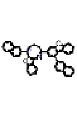 C1=C(/c2ccc3ccccc3c2)c2oc3ccccc3c2/N=C(/c2cc(-c3ccc4ccccc4c3)c3c(c2)oc2ccccc23)CC/1